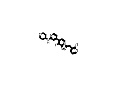 Fc1c(-c2ccnc(NC3CCOCC3)c2)ccn2c(Cc3cccnc3Cl)nnc12